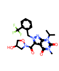 CC(C)n1c(=O)n(C)c(=O)c2c(C(=O)N3CC(O)CO3)n(Cc3ccccc3C(F)(F)F)nc21